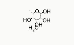 C[C@@H]1O[C@@H](O)[C@H](O)[C@H](O)[C@H]1O.O